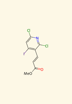 COC(=O)/C=C/c1c(I)cc(Cl)nc1Cl